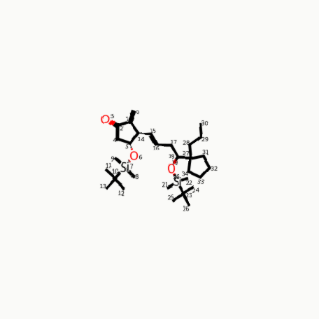 C=C1C(=O)C[C@@H](O[Si](C)(C)C(C)(C)C)[C@@H]1/C=C/CC(O[Si](C)(C)C(C)(C)C)C1(CCC)CCCC1